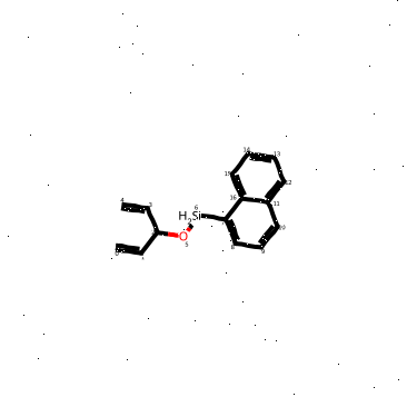 C=CC(C=C)O[SiH2]c1cccc2ccccc12